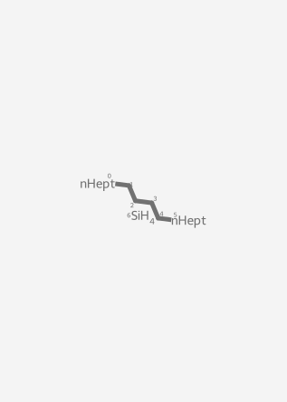 [CH2]CCCCCCCCCCCCCCCCC.[SiH4]